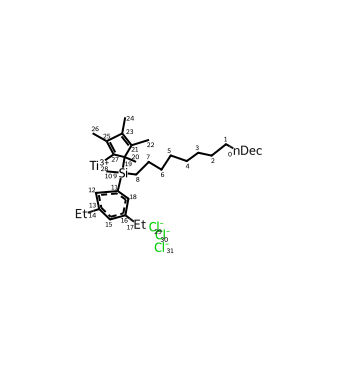 CCCCCCCCCCCCCCCCCC[Si](C)(c1cc(CC)cc(CC)c1)C1(C)C(C)=C(C)C(C)=[C]1[Ti+3].[Cl-].[Cl-].[Cl-]